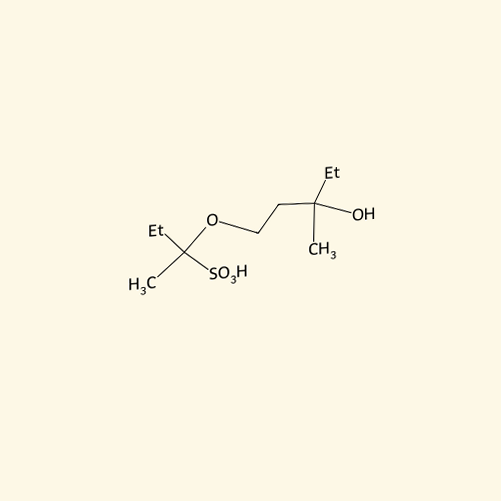 CCC(C)(O)CCOC(C)(CC)S(=O)(=O)O